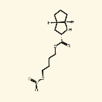 O=C(OCCCCO[N+](=O)[O-])[C@@H]1C[C@@H]2CCC[C@@H]2N1